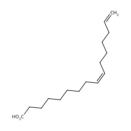 C=CCCCC/C=C\CCCCCCCC(=O)O